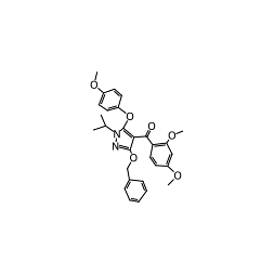 COc1ccc(Oc2c(C(=O)c3ccc(OC)cc3OC)c(OCc3ccccc3)nn2C(C)C)cc1